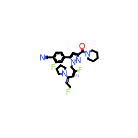 N#Cc1ccc(-c2cc(C(=O)N3CCCCC3)nn2C/C(F)=C\C(=C/CF)N2CCCC2)cc1F